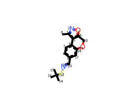 Cc1noc2c1-c1ccc(/C=N/SC(C)(C)C)cc1OC2